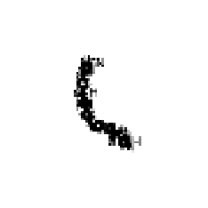 C=C1CCC(N2C(=O)c3ccc(N4CCN(CC5CCN(c6ncc(C(=O)N[C@H]7CC[C@H](Oc8ccc(C#N)c(Cl)c8)CC7)cn6)CC5)CC4)cc3C2=O)C(=O)N1